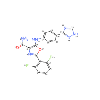 NC(=O)c1nc(-c2c(F)cccc2F)oc1Nc1ccc(-c2nc[nH]n2)cc1